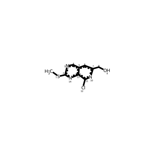 CSc1ncc2cc(CO)nc(Cl)c2n1